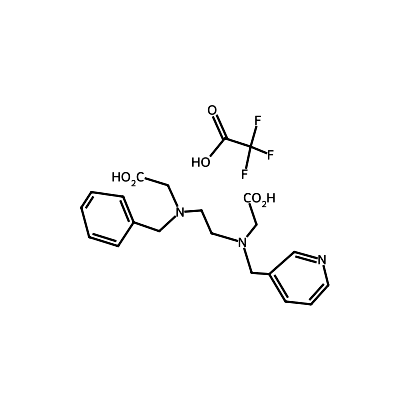 O=C(O)C(F)(F)F.O=C(O)CN(CCN(CC(=O)O)Cc1cccnc1)Cc1ccccc1